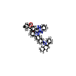 c1ccc2c(c1)ccc1c3ccccc3n(-c3ccc4cc5c6ccccc6n(-c6nc7ccccc7nc6-c6ccc7c(c6)oc6ccccc67)c5cc4c3)c21